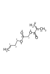 C=CCCOC(=O)COC(=O)C(=C)C